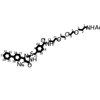 CC(=O)NCCCOCCOCCOCCCNC(=O)c1ccc(CSc2nc(-c3ccc(-c4ccccc4)cc3)c(C#N)c(=O)[nH]2)cc1